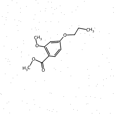 CCCOc1ccc(C(=O)OC)c(OC)c1